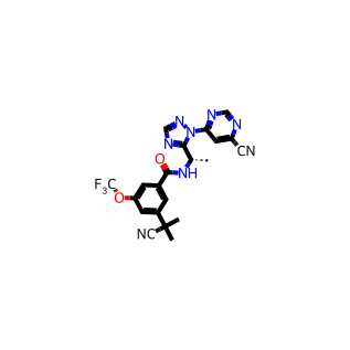 C[C@H](NC(=O)c1cc(OC(F)(F)F)cc(C(C)(C)C#N)c1)c1ncnn1-c1cc(C#N)ncn1